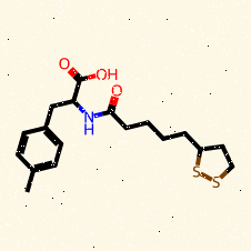 Cc1ccc(CC(NC(=O)CCCCC2CCSS2)C(=O)O)cc1